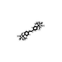 CCC(CC)(c1ccc(C=Cc2ccc(C(CC)(CC)P(=O)(O)O)cc2)cc1)P(=O)(O)O